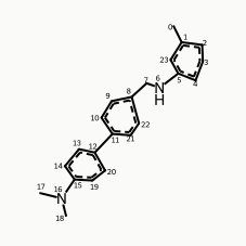 Cc1cccc(NCc2ccc(-c3ccc(N(C)C)cc3)cc2)c1